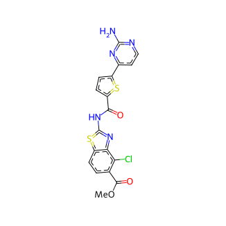 COC(=O)c1ccc2sc(NC(=O)c3ccc(-c4ccnc(N)n4)s3)nc2c1Cl